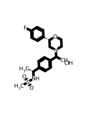 CC(c1ccc([C@@H](C)NS(C)(=O)=O)cc1)N1CCO[C@@H](c2ccc(F)cc2)C1.Cl